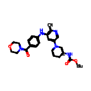 CC(C)(C)OC(=O)N[C@@H]1CCCN(c2cnc(C#N)c(Nc3ccc(C(=O)N4CCOCC4)cc3)c2)C1